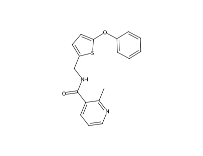 Cc1ncccc1C(=O)NCc1ccc(Oc2ccccc2)s1